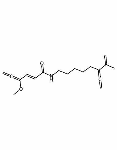 C=C=C(/C=C/C(=O)NCCCCCC(=C=C)C(=C)C)OC